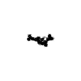 CC(C)c1cc(C(C)C)c(B2c3cc(-n4c5ccccc5c5cc(-c6ccc(-n7c8ccccc8c8ccccc87)cc6)ccc54)ccc3Oc3ccc(-n4c5ccccc5c5cc(-c6ccc(-n7c8ccccc8c8ccccc87)cc6)ccc54)cc32)c(C(C)C)c1